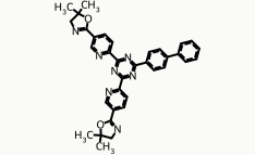 CC1(C)CN=C(c2ccc(-c3nc(-c4ccc(-c5ccccc5)cc4)nc(-c4ccc(C5=NCC(C)(C)O5)cn4)n3)nc2)O1